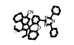 C=CC1=C(/C=C\C)c2c(cc(C#N)c3ccccc23)C12c1ccccc1Oc1c(-c3nc(-c4ccccc4)nc(-c4ccccc4)n3)cccc12